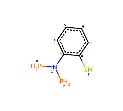 PN(P)c1ccccc1S